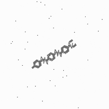 CCN(CC)c1ccc(/N=N/c2ccc(/N=N/c3ccc(C)cc3)cc2)cc1